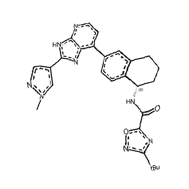 Cn1cc(-c2nc3c(-c4ccc5c(c4)CCC[C@@H]5NC(=O)c4nc(C(C)(C)C)no4)ccnc3[nH]2)cn1